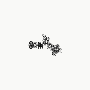 CCOC(=O)C1CC(n2nnc(-c3ccc(S(C)(=O)=O)cc3)n2)CN1CC1CCC2CN(C(=O)OC)C(C(=O)OCC)CC2C1